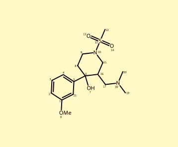 COc1cccc(C2(O)CCN(S(C)(=O)=O)CC2CN(C)C)c1